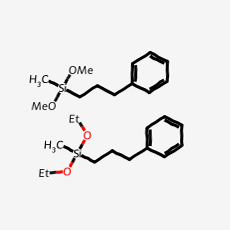 CCO[Si](C)(CCCc1ccccc1)OCC.CO[Si](C)(CCCc1ccccc1)OC